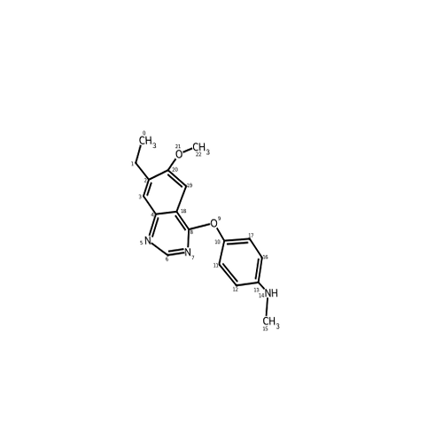 CCc1cc2ncnc(Oc3ccc(NC)cc3)c2cc1OC